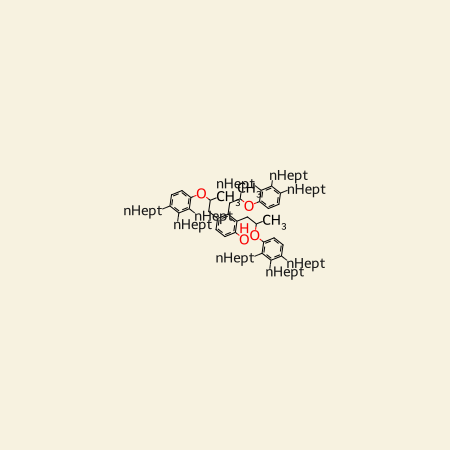 CCCCCCCc1ccc(OC(C)Cc2ccc(O)c(CC(C)Oc3ccc(CCCCCCC)c(CCCCCCC)c3CCCCCCC)c2CC(C)Oc2ccc(CCCCCCC)c(CCCCCCC)c2CCCCCCC)c(CCCCCCC)c1CCCCCCC